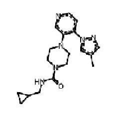 Cc1cnn(-c2ccncc2N2CCN(C(=O)NCC3CC3)CC2)c1